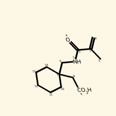 C=C(C)C(=O)NCC1(CC(=O)O)CCCCC1